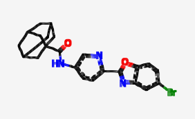 O=C(Nc1ccc(-c2nc3cc(Br)ccc3o2)nc1)C12CC3CC(CC(C3)C1)C2